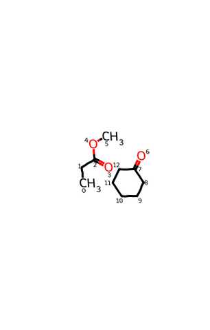 CCC(=O)OC.O=C1CCCCC1